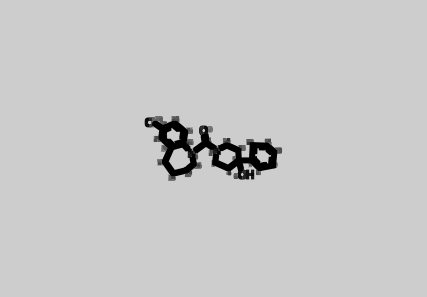 O=C(N1CCC(O)(c2ccccc2)CC1)N1CCCCc2cc(Cl)ccc21